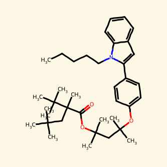 CCCCCn1c(-c2ccc(OC(C)(C)CC(C)(C)OC(=O)C(C)(CC(C)(C)C)C(C)(C)C)cc2)cc2ccccc21